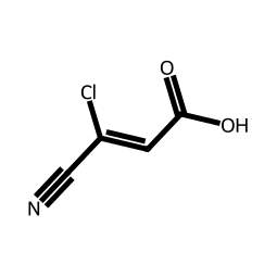 N#CC(Cl)=CC(=O)O